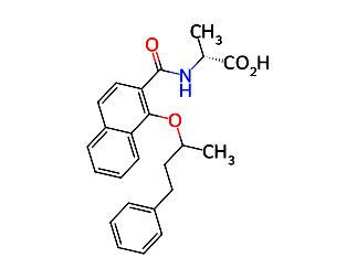 CC(CCc1ccccc1)Oc1c(C(=O)N[C@H](C)C(=O)O)ccc2ccccc12